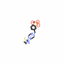 O=S1(=O)COc2ccc(CN3CCN(c4nccs4)CC3)cc21